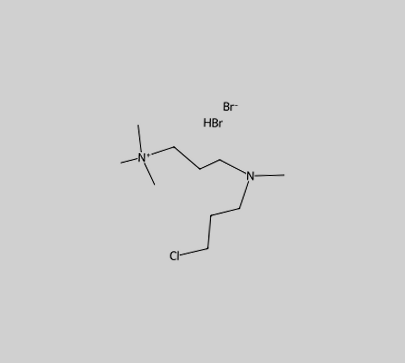 Br.CN(CCCCl)CCC[N+](C)(C)C.[Br-]